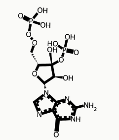 Nc1nc2c(ncn2[C@@H]2O[C@H](COOP(=O)(O)O)[C@](O)(OP(=O)(O)O)[C@H]2O)c(=O)[nH]1